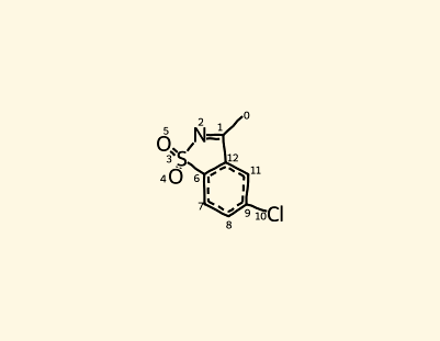 CC1=NS(=O)(=O)c2ccc(Cl)cc21